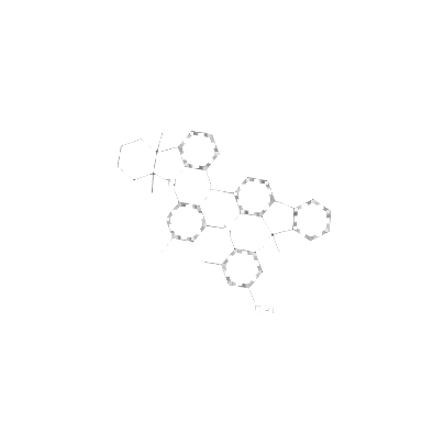 Cc1cc2c3c(c1)N1c4c(cccc4C4(C)CCCCC14C)B3c1ccc3c(c1N2c1c(C)cc(C(C)(C)C)cc1C)C(C)(C)c1ccccc1-3